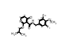 COc1c(F)cc(CNC(=O)c2c(Cl)ccnc2OCC(C)C)cc1F